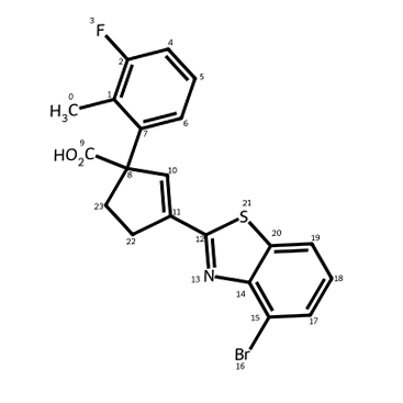 Cc1c(F)cccc1C1(C(=O)O)C=C(c2nc3c(Br)cccc3s2)CC1